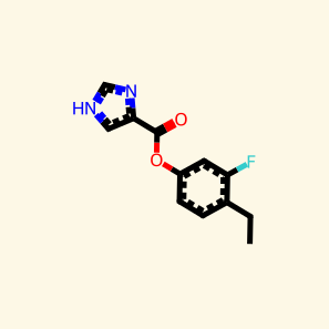 CCc1ccc(OC(=O)c2c[nH]cn2)cc1F